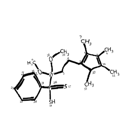 C[O][Zr]([CH2][CH]C1=C(C)C(C)=C(C)C1C)([O]C)[P](=S)(S)c1ccccc1